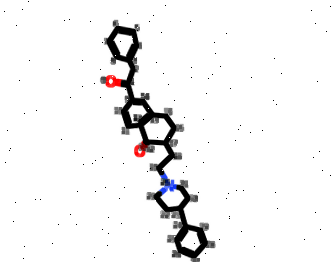 O=C(Cc1ccccc1)c1ccc2c(c1)CCC(CCN1CCC(c3ccccc3)CC1)C2=O